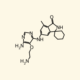 Cc1cc(Nc2ncnc(N)c2OCCN)cc2c1C(=O)NC21CCCCC1